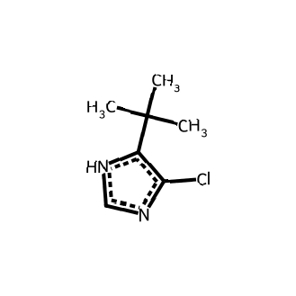 CC(C)(C)c1[nH]cnc1Cl